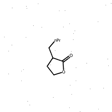 CCCC[C]1CCOC1=O